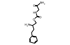 NC(=O)CNC(=O)OCC(N)CCc1ccccc1